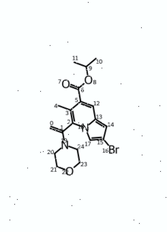 C=C(c1c(C)c(C(=O)OC(C)C)cc2cc(Br)cn12)N1CCOCC1